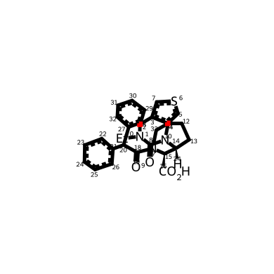 CCN(Cc1ccsc1)C(=O)N1C2CC[C@@H]1[C@@H](C(=O)O)N(C(=O)C(c1ccccc1)c1ccccc1)C2